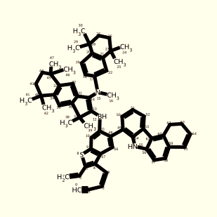 C#C/C=C\c1c(C=C)sc2cc(BC3=C(N(C)c4ccc5c(c4)C(C)(C)CCC5(C)C)c4cc5c(cc4C3(C)C)C(C)(C)CCC5(C)C)c(-c3cccc4c3[nH]c3ccc5c(c34)CCC=C5)cc12